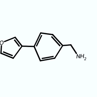 NCc1ccc(-c2ccoc2)cc1